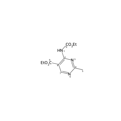 CCOC(=O)Nc1nc(C)ncc1C(=O)OCC